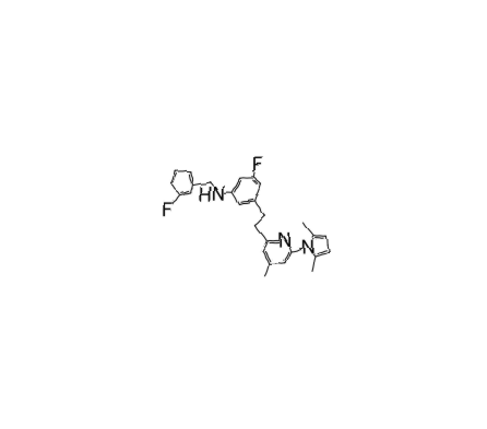 Cc1cc(CCc2cc(F)cc(NCc3cccc(F)c3)c2)nc(-n2c(C)ccc2C)c1